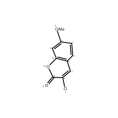 COc1ccc2cc(Cl)c(=O)oc2c1